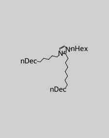 CCCCCCCCCCCCCCCCCc1n(CCCCCC)cc[n+]1CCCCCCCCCCCCCCC